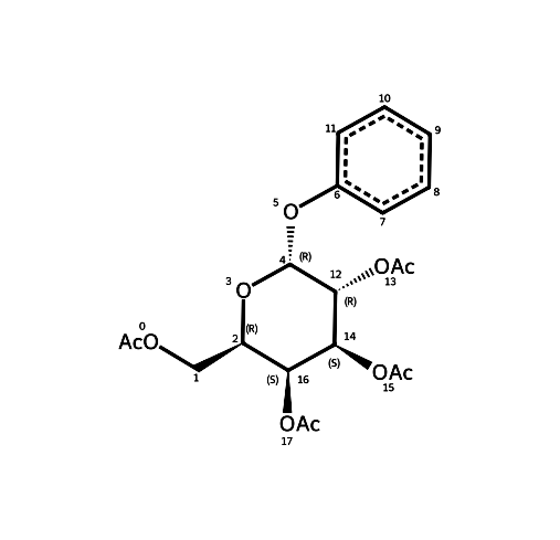 CC(=O)OC[C@H]1O[C@H](Oc2ccccc2)[C@H](OC(C)=O)[C@@H](OC(C)=O)[C@H]1OC(C)=O